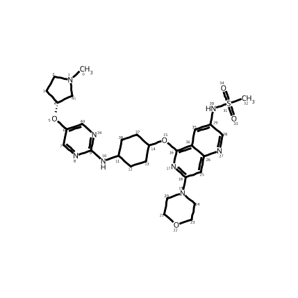 CN1CC[C@@H](Oc2cnc(NC3CCC(Oc4nc(N5CCOCC5)cc5ncc(NS(C)(=O)=O)cc45)CC3)nc2)C1